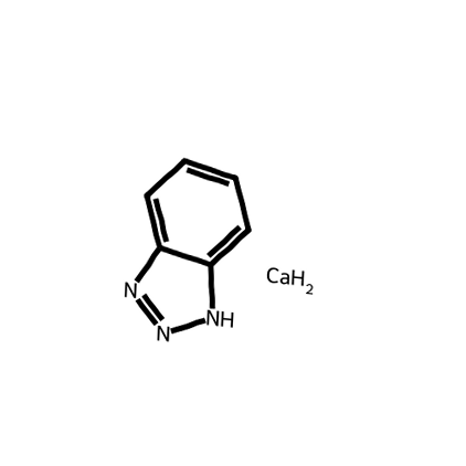 [CaH2].c1ccc2[nH]nnc2c1